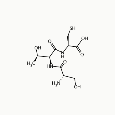 C[C@@H](O)[C@H](NC(=O)[C@@H](N)CO)C(=O)N[C@@H](CS)C(=O)O